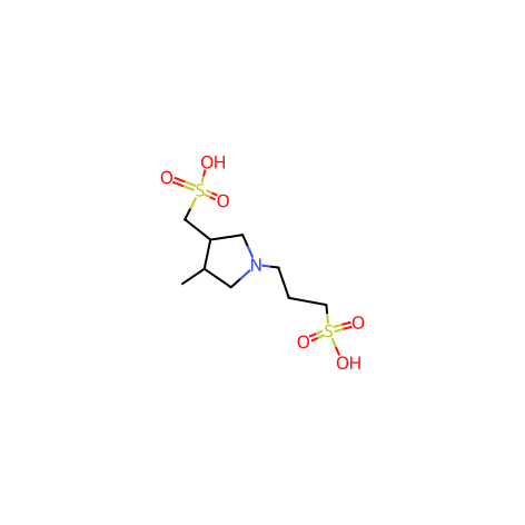 CC1CN(CCCS(=O)(=O)O)CC1CS(=O)(=O)O